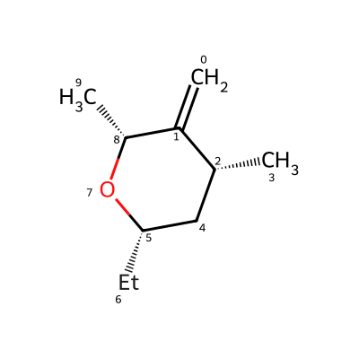 C=C1[C@H](C)C[C@H](CC)O[C@@H]1C